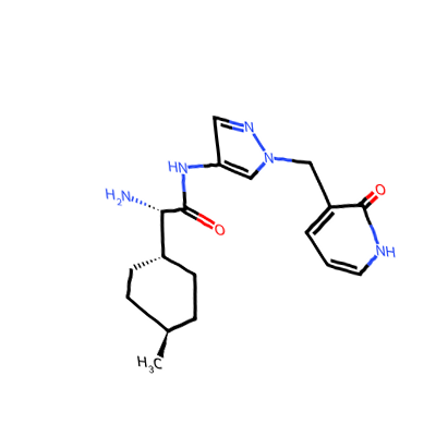 C[C@H]1CC[C@H]([C@H](N)C(=O)Nc2cnn(Cc3ccc[nH]c3=O)c2)CC1